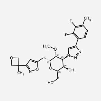 CO[C@@H]1[C@@H](n2cc(-c3ccc(C)c(F)c3F)nn2)[C@@H](O)[C@@H](CO)O[C@@H]1Cc1cc(C2(C)COC2)no1